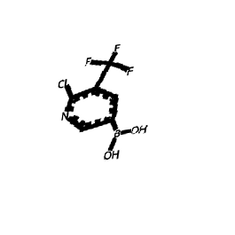 OB(O)c1cnc(Cl)c(C(F)(F)F)c1